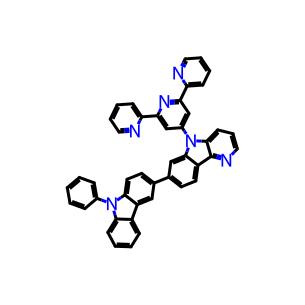 c1ccc(-n2c3ccccc3c3cc(-c4ccc5c6ncccc6n(-c6cc(-c7ccccn7)nc(-c7ccccn7)c6)c5c4)ccc32)cc1